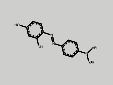 CCCCN(CCCC)c1ccc(N=Nc2ccc(O)cc2O)cc1